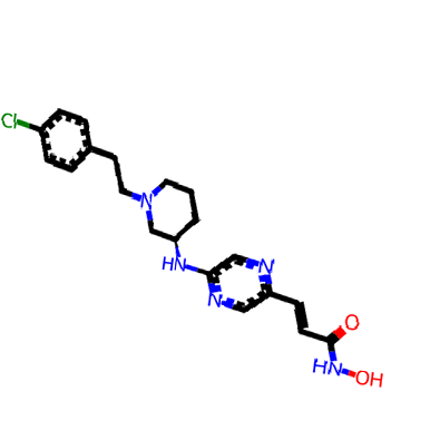 O=C(/C=C/c1cnc(N[C@@H]2CCCN(CCc3ccc(Cl)cc3)C2)cn1)NO